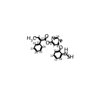 CC=C(C(=O)Oc1cc(Oc2ccccc2NS)ncn1)c1ccccc1